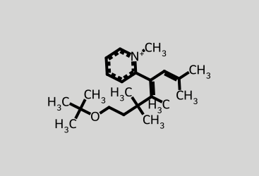 CC(C)=C/C(=C(\C)C(C)(C)CCOC(C)(C)C)c1cccc[n+]1C